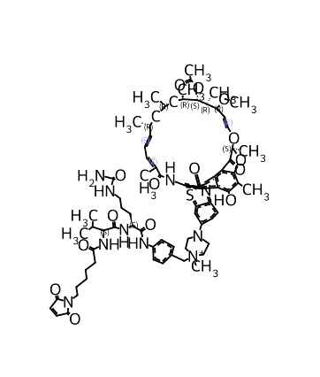 CO[C@H]1/C=C/O[C@@]2(C)Oc3c(C)c(O)c4c(=O)c(c5sc6cc(N7CC[N+](C)(Cc8ccc(NC(=O)[C@H](CCCNC(N)=O)NC(=O)[C@@H](NC(=O)CCCCCN9C(=O)C=CC9=O)C(C)C)cc8)CC7)ccc6nc-5c4c3C2=O)NC(=O)/C(C)=C\C=C\[C@H](C)C[C@@H](C)C[C@@H](C)[C@H](OC(C)=O)[C@@H]1C